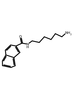 NCCCCCCNC(=O)c1ccc2ccccc2c1